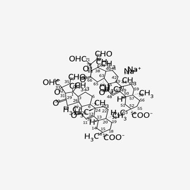 CC1(C)C2CC[C@]3(C)C(C(=O)C=C4[C@H]5C[C@@](C)(C(=O)[O-])CC[C@]5(C)CC[C@]43C)[C@@]2(C)CC(=O)[C@]12OC2(C=O)CC=O.CC1(C)C2CC[C@]3(C)C(C(=O)C=C4[C@H]5C[C@@](C)(C(=O)[O-])CC[C@]5(C)CC[C@]43C)[C@@]2(C)CC(=O)[C@]12OC2(C=O)CC=O.[Na+].[Na+]